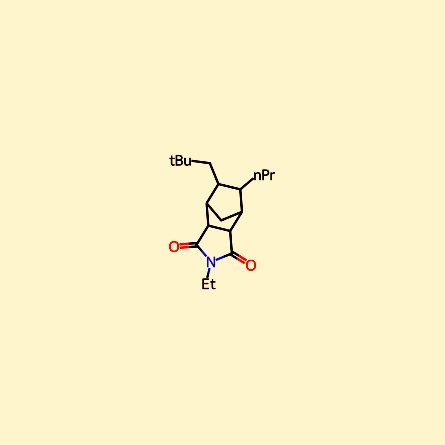 CCCC1C(CC(C)(C)C)C2CC1C1C(=O)N(CC)C(=O)C21